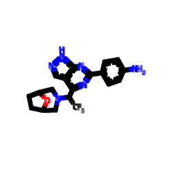 Nc1ccc(-c2nc(C(N3CC4CCC(C3)O4)C(F)(F)F)c3cn[nH]c3n2)cc1